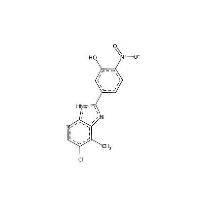 Cc1c(Cl)cnc2[nH]c(-c3ccc([N+](=O)[O-])c(O)c3)nc12